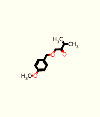 COc1ccc(COCC(=O)C(C)C)cc1